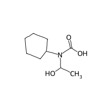 CC(O)N(C(=O)O)C1CCCCC1